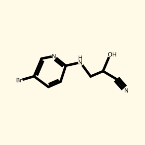 N#CC(O)CNc1ccc(Br)cn1